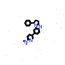 CN(C)c1ccc(-c2ccc3nc4n(c3c2)C(c2ccccc2)CC4)cn1